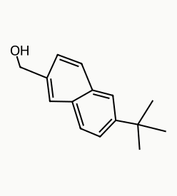 CC(C)(C)c1ccc2cc(CO)ccc2c1